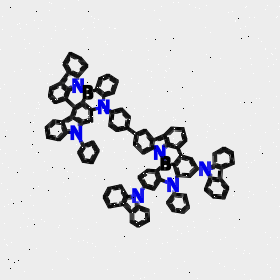 c1ccc(N2c3cc(-n4c5ccccc5c5ccccc54)ccc3B3c4c(cc(-n5c6ccccc6c6ccccc65)cc42)-c2cccc4c5cc(-c6ccc(N7c8ccccc8B8c9c7cc7c(c9-c9cccc%10c%11ccccc%11n8c9%10)c8ccccc8n7-c7ccccc7)cc6)ccc5n3c24)cc1